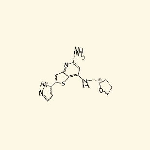 Nc1cc(NC[C@@H]2CCCO2)c2sc(-c3ccn[nH]3)cc2n1